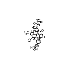 O=C(c1cc(F)ccc1N(C(=O)Nc1ncc(S(=O)(=O)c2ncc[nH]2)s1)N(C(=O)Nc1ncc(S(=O)(=O)c2ncc[nH]2)s1)c1ccc(C(F)(F)F)cc1C(=O)C1CCCC1)C1CCCC1